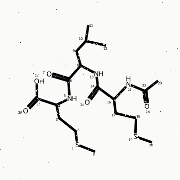 CSCCC(NC(=O)C(CC(C)C)NC(=O)C(CCSC)NC(C)=O)C(=O)O